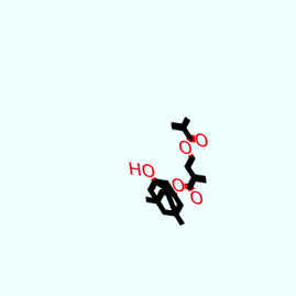 C=C(C)C(=O)OCCC(=C)C(=O)OC12CC3(C)CC(C)(CC(O)(C3)C1)C2